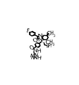 CC(C)CC[C@H](c1ccc(C(=O)NCc2nn[nH]n2)cc1)N1C(=O)C(c2ccc(F)cc2)=NC12CC(C)CC(C)C2